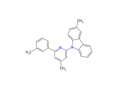 Cc1cccc(-c2cc(C)cc(-n3c4ccccc4c4cc(C)ccc43)n2)c1